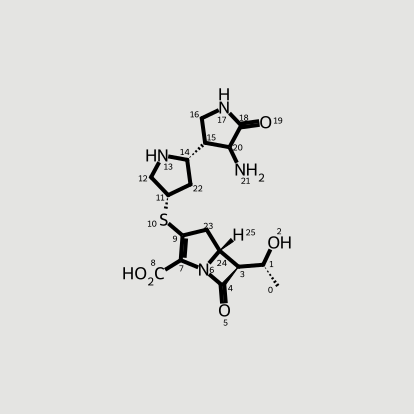 C[C@@H](O)[C@H]1C(=O)N2C(C(=O)O)=C(S[C@@H]3CN[C@H](C4CNC(=O)C4N)C3)C[C@H]12